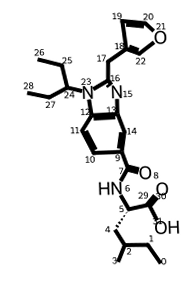 CCC(C)C[C@H](NC(=O)c1ccc2c(c1)nc(Cc1ccoc1)n2C(CC)CC)C(=O)O